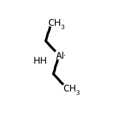 C[CH2][Al][CH2]C.[HH]